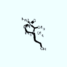 C.CC(C)S(=O)(=O)O.OCC=CCO